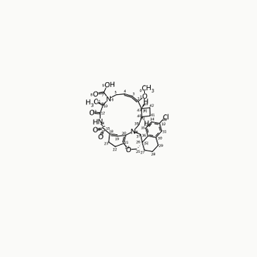 COC1=C=CCN(C(=O)O)[C@H](C)C(=O)NS(=O)(=O)C2=CC3=C(CC2)OC[C@]2(CCCc4cc(Cl)ccc42)CN3C[C@@H]2CC[C@@H]12